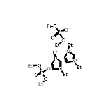 CCOP(=O)([O-])OCC.CCOP(=O)([O-])OCC.CCn1cc[n+](CC)c1.CCn1cc[n+](CC)c1